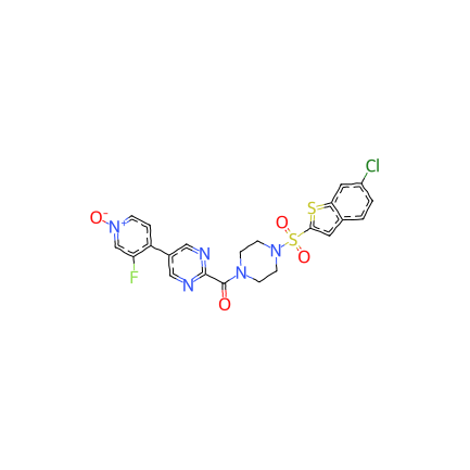 O=C(c1ncc(-c2cc[n+]([O-])cc2F)cn1)N1CCN(S(=O)(=O)c2cc3ccc(Cl)cc3s2)CC1